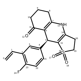 C=Cc1cc([C@H]2C3=C(CCCC3=O)NC3=C2S(=O)(=O)CC3)ccc1F